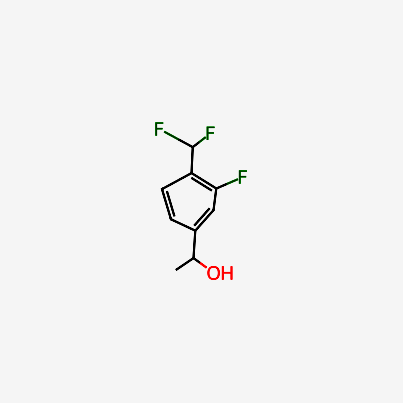 CC(O)c1ccc(C(F)F)c(F)c1